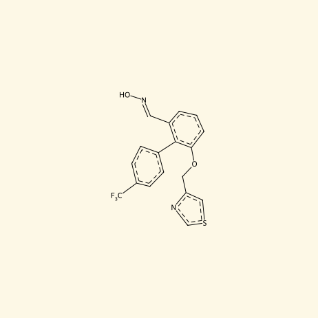 ON=Cc1cccc(OCc2cscn2)c1-c1ccc(C(F)(F)F)cc1